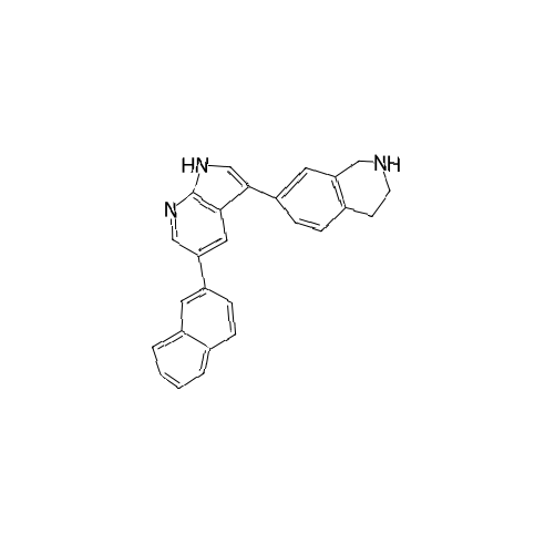 c1ccc2cc(-c3cnc4[nH]cc(-c5ccc6c(c5)CNCC6)c4c3)ccc2c1